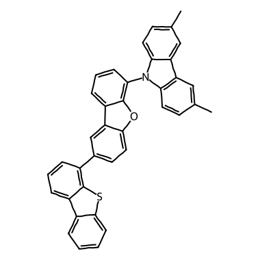 Cc1ccc2c(c1)c1cc(C)ccc1n2-c1cccc2c1oc1ccc(-c3cccc4c3sc3ccccc34)cc12